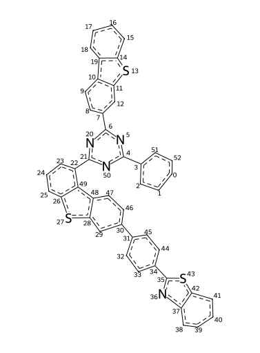 c1ccc(-c2nc(-c3ccc4c(c3)sc3ccccc34)nc(-c3cccc4sc5cc(-c6ccc(-c7nc8ccccc8s7)cc6)ccc5c34)n2)cc1